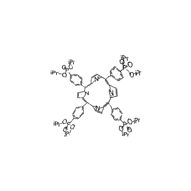 CC(C)OP(=O)(OC(C)C)c1ccc(C2=C3C=CC(=N3)C(c3ccc(P(=O)(OC(C)C)OC(C)C)cc3)=C3C=CC(=N3)C(c3ccc(P(=O)(OC(C)C)OC(C)C)cc3)=C3C=CC(=N3)C(c3ccc(P(=O)(OC(C)C)OC(C)C)cc3)=C3C=CC2=N3)cc1